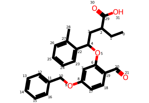 CCC(CC(Oc1cc(OCc2ccccc2)ccc1C=O)c1ccccc1C)C(=O)O